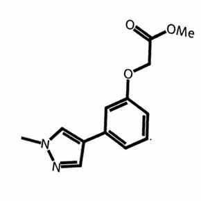 COC(=O)COc1c[c]cc(-c2cnn(C)c2)c1